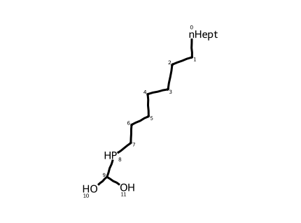 CCCCCCCCCCCCCCPC(O)O